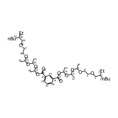 CCCCC(CC)COCCOC(C)OC(C)OC(C)OC(=O)c1cccc(C(=O)OC(C)OC(C)OC(C)OCCOCC(CC)CCCC)c1